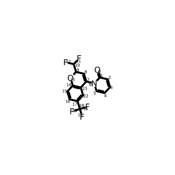 O=c1ccccn1C1=CC(C(F)F)Oc2ccc(C(F)(F)F)cc21